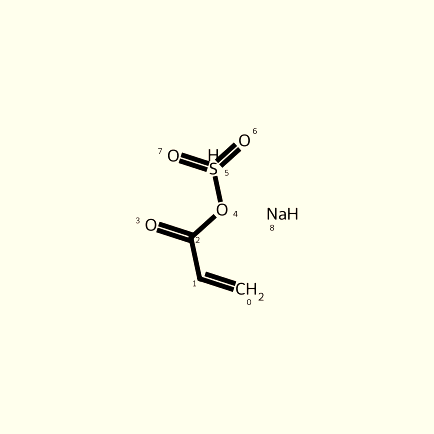 C=CC(=O)O[SH](=O)=O.[NaH]